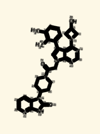 Cc1cccc(-c2cn(CC(=O)N3CCC(n4c(=O)[nH]c5ncccc54)CC3)c3ncnc(N4CC(O)C4)c23)c1C